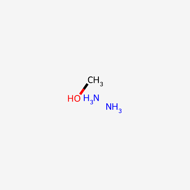 CO.N.N